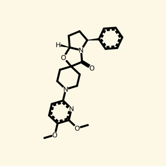 COc1ccc(N2CCC3(CC2)O[C@@H]2CC[C@@H](c4ccccc4)N2C3=O)nc1OC